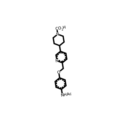 CC(=O)Nc1ccc(OCc2ccc(C3CCN(C(=O)O)CC3)cn2)cc1